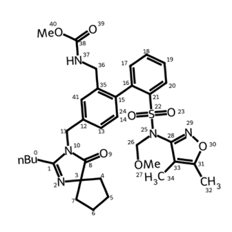 CCCCC1=NC2(CCCC2)C(=O)N1Cc1ccc(-c2ccccc2S(=O)(=O)N(COC)c2noc(C)c2C)c(CNC(=O)OC)c1